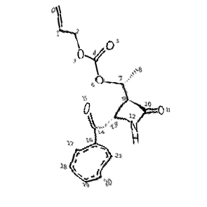 C=CCOC(=O)O[C@H](C)[C@H]1C(=O)N[C@@H]1C(=O)c1ccccc1